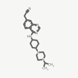 CC(C)N1CCN(C2CCC(Nc3ncnc4cc(CC#N)ccc34)CC2)CC1